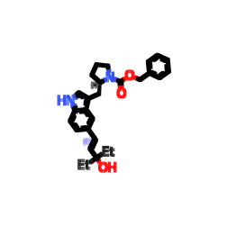 CCC(O)(/C=C/c1ccc2[nH]cc(C[C@H]3CCCN3C(=O)OCc3ccccc3)c2c1)CC